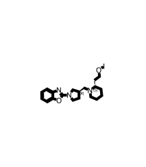 IOCC[C@@H]1CCCCN1C[C@H]1CCN(c2nc3ccccc3o2)C1